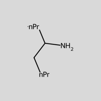 CC[CH]C(N)CCCC